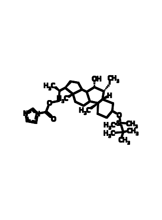 CC[C@H]1[C@@H](O)C2C3CC[C@H]([C@H](C)COC(=O)n4ccnc4)[C@@]3(C)CCC2[C@@]2(C)CCC(O[Si](C)(C)C(C)(C)C)C[C@@H]12